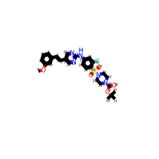 COc1cccc(C=Cc2cnc(Nc3ccc(S(=O)(=O)N4CCN(C(=O)OC(C)(C)C)CC4)c(F)c3)nc2)c1